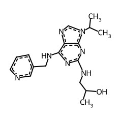 CC(O)CNc1nc(NCc2cccnc2)c2ncn(C(C)C)c2n1